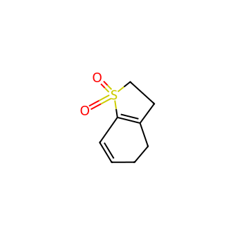 O=S1(=O)CCC2=C1C=CCC2